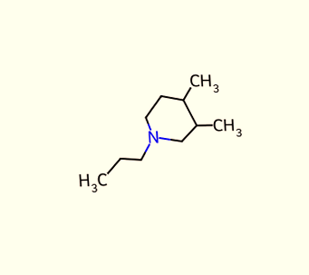 CCCN1CCC(C)C(C)C1